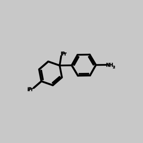 CC(C)C1=CCC(c2ccc(N)cc2)(C(C)C)C=C1